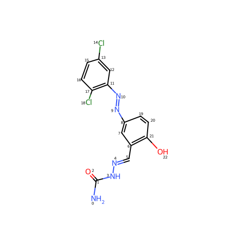 NC(=O)NN=Cc1cc(N=Nc2cc(Cl)ccc2Cl)ccc1O